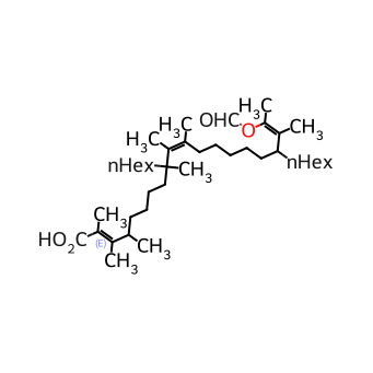 CCCCCCC(CCCCCC(C)=C(C)C(C)(CCCCCC)CCCCC(C)/C(C)=C(\C)C(=O)O)C(C)=C(C)OC=O